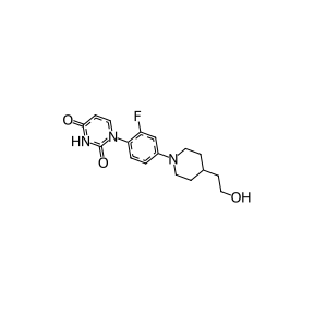 O=c1ccn(-c2ccc(N3CCC(CCO)CC3)cc2F)c(=O)[nH]1